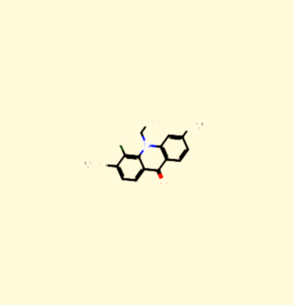 COc1ccc2c(=O)c3ccc(OC)c(Cl)c3n(CC(=O)O)c2c1